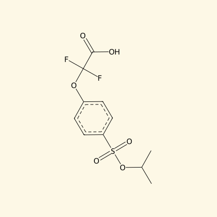 CC(C)OS(=O)(=O)c1ccc(OC(F)(F)C(=O)O)cc1